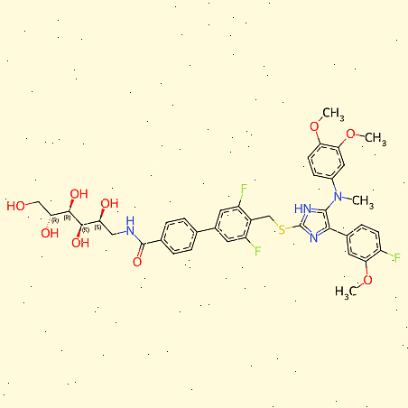 COc1cc(-c2nc(SCc3c(F)cc(-c4ccc(C(=O)NC[C@H](O)[C@@H](O)[C@H](O)[C@H](O)CO)cc4)cc3F)[nH]c2N(C)c2ccc(OC)c(OC)c2)ccc1F